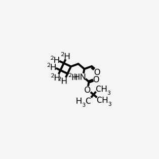 [2H]C1([2H])C(CC(C=O)NC(=O)OC(C)(C)C)C([2H])([2H])C1([2H])[2H]